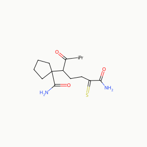 CC(C)C(=O)C(CCC(=S)C(N)=O)C1(C(N)=O)CCCC1